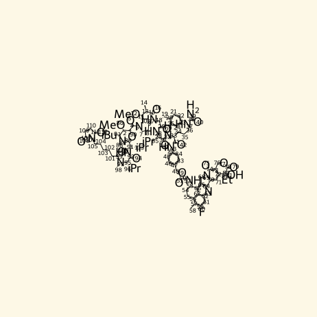 CC[C@H](C)[C@@H]([C@@H](CC(=O)N1CCC[C@H]1[C@H](OC)[C@@H](C)C(=O)N[C@H](Cc1ccccc1)C(=O)N[C@H](C(=O)N[C@@H](CCCNC(N)=O)C(=O)Nc1ccc(COC(=O)NC2CCc3c(C)c(F)cc4nc5c(c2c34)Cn2c-5cc3c(c2=O)COC(=O)[C@]3(O)CC)cc1)C(C)C)OC)N(C)C(=O)[C@@H](NC(=O)[C@H](C(C)C)N(C)C(=O)CCCCCN1C(=O)C=CC1=O)C(C)C